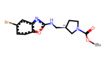 CC(C)(C)OC(=O)N1CC[C@H](CNc2nc3cc(Br)ccc3o2)C1